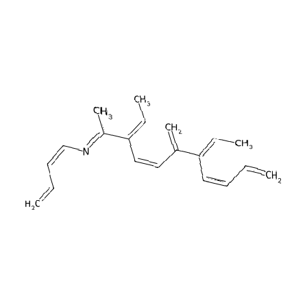 C=C/C=C\N=C(/C)C(=CC)/C=C\C(=C)C(/C=C\C=C)=C/C